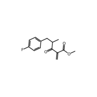 C=C(C(=O)OC)C(=O)C(C)Cc1ccc(F)cc1